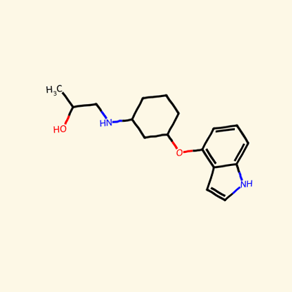 CC(O)CNC1CCCC(Oc2cccc3[nH]ccc23)C1